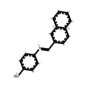 CC(C)(C)c1ccc(N=Cc2ccc3ccccc3c2)cc1